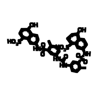 Cc1ccc(NC(=O)Nc2ccc(C)c(S(=O)(=O)Nc3ccc4c(O)ccc(S(=O)(=O)O)c4c3)c2)cc1S(=O)(=O)Nc1ccc2c(O)ccc(S(=O)(=O)O)c2c1